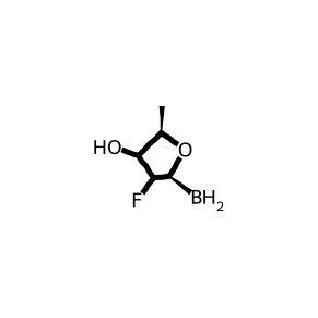 B[C@@H]1O[C@H](C)C(O)C1F